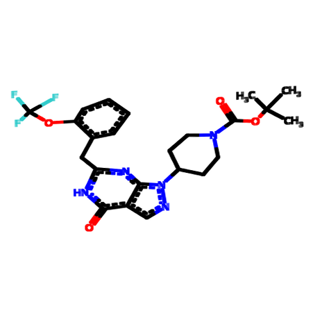 CC(C)(C)OC(=O)N1CCC(n2ncc3c(=O)[nH]c(Cc4ccccc4OC(F)(F)F)nc32)CC1